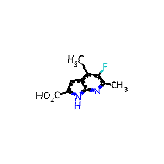 Cc1nc2[nH]c(C(=O)O)cc2c(C)c1F